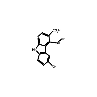 CC(C)Nc1c(C(=O)O)cnc2[nH]c3ccc(C#N)cc3c12